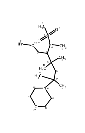 CC(C)OCC(N(C)S(C)(=O)=O)C(C)(C)CC(C)(C)N1CCOCC1